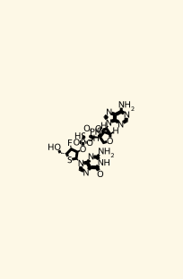 Nc1nc2c(ncn2[C@@H]2S[C@H](CO)[C@H](F)[C@H]2OP(=O)(S)OC[C@@]23CO[C@@H]([C@H](n4cnc5c(N)ncnc54)O2)[C@@H]3O[PH](=O)S)c(=O)[nH]1